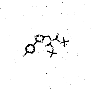 CC(C)(C)OC(=O)N(Cc1nnc(-c2ccc(Br)cc2)o1)C(=O)OC(C)(C)C